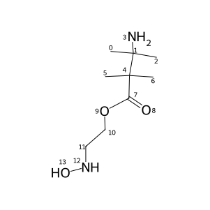 CC(C)(N)C(C)(C)C(=O)OCCNO